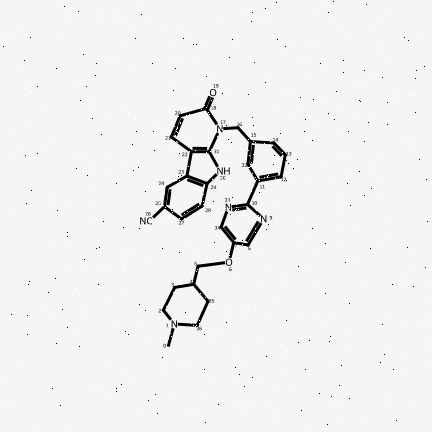 CN1CCC(COc2cnc(-c3cccc(Cn4c(=O)ccc5c6cc(C#N)ccc6[nH]c54)c3)nc2)CC1